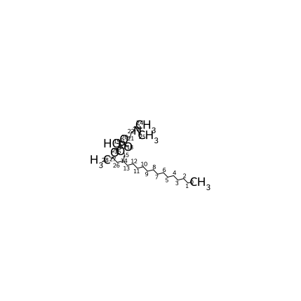 CCCCCCCCCCCCCCC(COP(=O)(O)OCCN(C)C)CC(C)=O